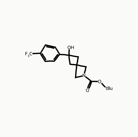 CC(C)(C)OC(=O)N1CC2(C1)CC(O)(c1ccc(C(F)(F)F)cc1)C2